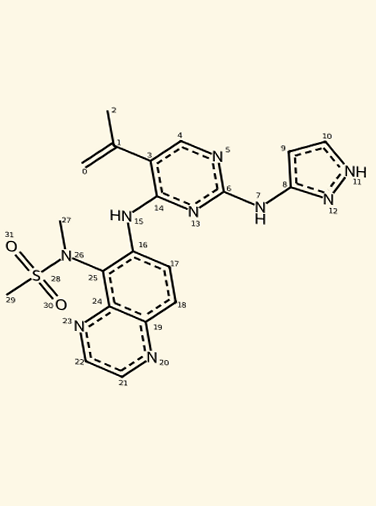 C=C(C)c1cnc(Nc2cc[nH]n2)nc1Nc1ccc2nccnc2c1N(C)S(C)(=O)=O